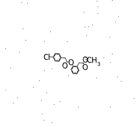 COC(=O)Cc1ccccc1OC(=O)Cc1ccc(Cl)cc1